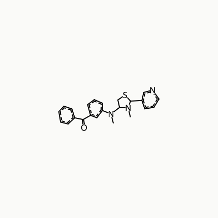 CN(c1cccc(C(=O)c2ccccc2)c1)C1CSC(c2cccnc2)N1C